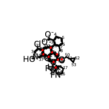 O=C([O-])c1cccc(CN(C(=O)O[C@H]2CN3CCC2CC3)c2ccccc2F)c1[C@@H](Cc1c(Cl)c[n+](O)cc1Cl)c1ccc(OC(F)F)c(OCC2CC2)c1